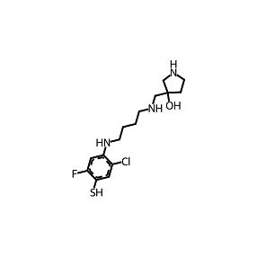 OC1(CNCCCCNc2cc(F)c(S)cc2Cl)CCNC1